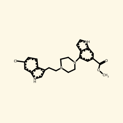 COC(=O)c1cc(N2CCN(CCc3c[nH]c4cc(Cl)ccc34)CC2)c2cc[nH]c2c1